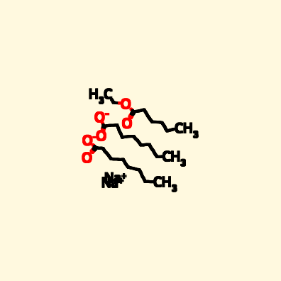 CCCCCC(=O)OCC.CCCCCCCC(=O)[O-].CCCCCCCC(=O)[O-].[Na+].[Na+]